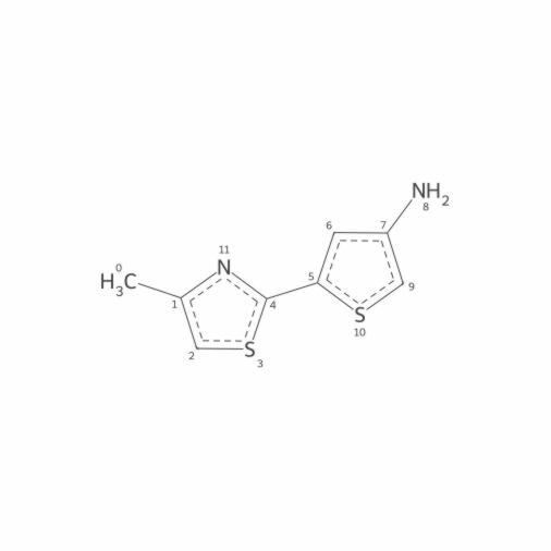 Cc1csc(-c2cc(N)cs2)n1